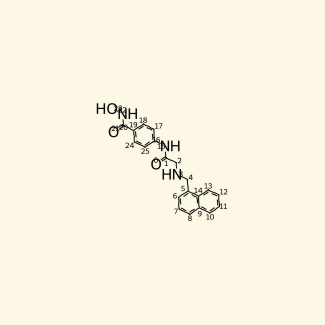 O=C(CNCc1cccc2ccccc12)Nc1ccc(C(=O)NO)cc1